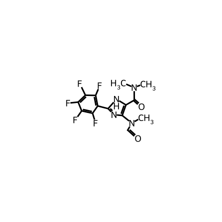 CN(C)C(=O)c1[nH]c(-c2c(F)c(F)c(F)c(F)c2F)nc1N(C)C=O